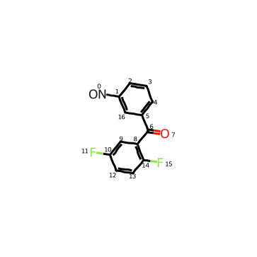 O=Nc1cccc(C(=O)c2cc(F)ccc2F)c1